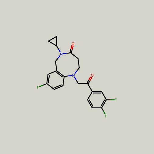 O=C(CN1CCC(=O)N(C2CC2)Cc2cc(F)ccc21)c1ccc(F)c(F)c1